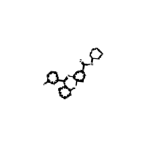 O=C(NC1CCCCC1)c1ccc2c(c1)N=C(c1cccc(F)c1)c1ccccc1S2